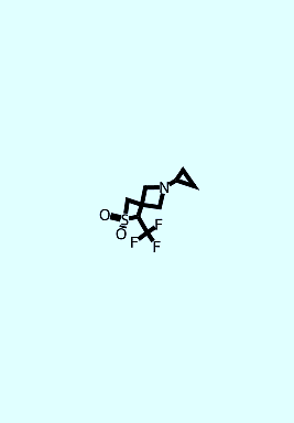 O=S1(=O)CC2(CN(C3CC3)C2)C1C(F)(F)F